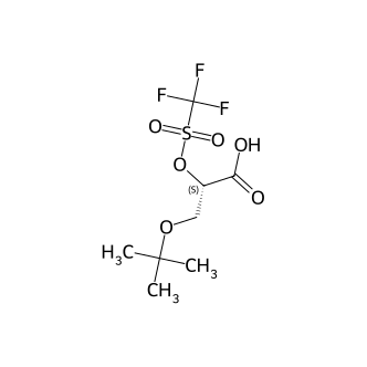 CC(C)(C)OC[C@H](OS(=O)(=O)C(F)(F)F)C(=O)O